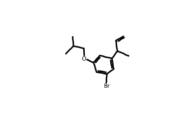 C=C[C](C)c1cc(Br)cc(OCC(C)C)c1